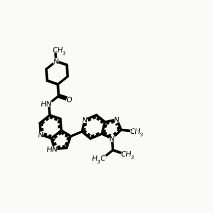 Cc1nc2cnc(-c3c[nH]c4ncc(NC(=O)C5CCN(C)CC5)cc34)cc2n1C(C)C